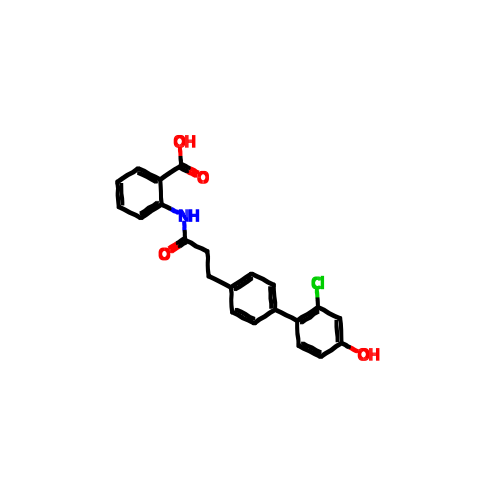 O=C(CCc1ccc(-c2ccc(O)cc2Cl)cc1)Nc1ccccc1C(=O)O